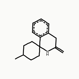 C=C1Cc2ccccc2C2(CCC(C)CC2)N1